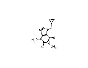 Cn1c(=S)c2c(ncn2CC2CC2)n(C)c1=O